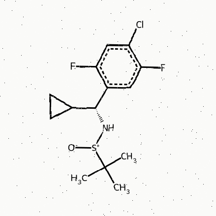 CC(C)(C)[S+]([O-])N[C@@H](c1cc(F)c(Cl)cc1F)C1CC1